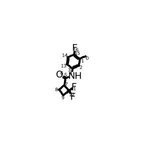 Cc1cc(NC(=O)C2CCC2(F)F)ccc1F